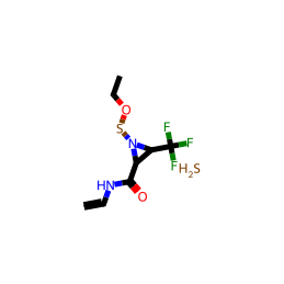 C=CNC(=O)C1C(C(F)(F)F)N1SOCC.S